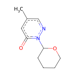 Cc1cnn(C2CCCCO2)c(=O)c1